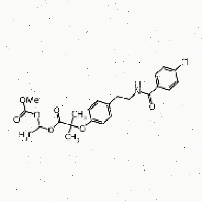 COC(=O)OC(C)OC(=O)C(C)(C)Oc1ccc(CCNC(=O)c2ccc(Cl)cc2)cc1